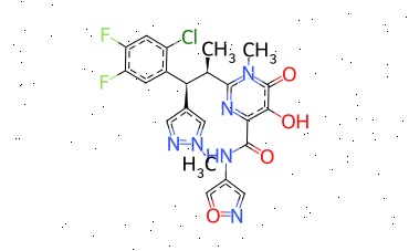 C[C@@H](c1nc(C(=O)Nc2cnoc2)c(O)c(=O)n1C)[C@@H](c1cnn(C)c1)c1cc(F)c(F)cc1Cl